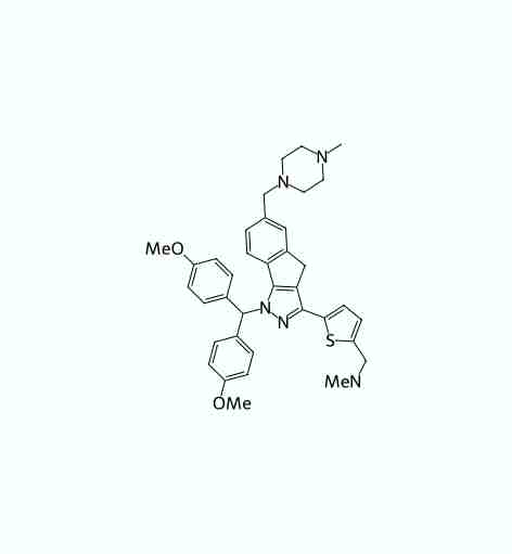 CNCc1ccc(-c2nn(C(c3ccc(OC)cc3)c3ccc(OC)cc3)c3c2Cc2cc(CN4CCN(C)CC4)ccc2-3)s1